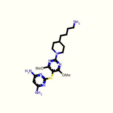 COc1nc(N2CCC(CCCCN)CC2)nc(OC)c1Sc1nc(N)cc(N)n1